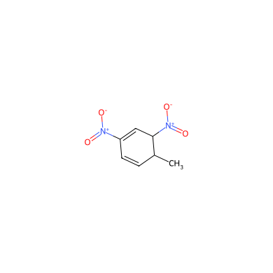 CC1C=CC([N+](=O)[O-])=CC1[N+](=O)[O-]